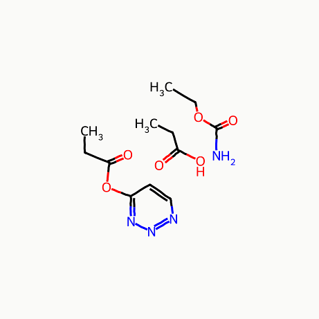 CCC(=O)O.CCC(=O)Oc1ccnnn1.CCOC(N)=O